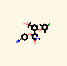 Cc1cc(F)cc(C)c1Oc1ccc(C(C)(C)O)cc1-c1cn(C)c(=O)cc1O[C@H]1CC[C@@H](C#N)CC1